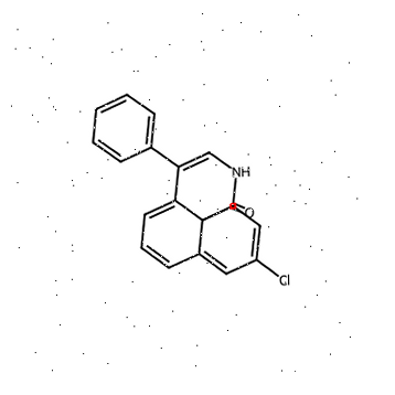 O=C1NC=C(c2ccccc2)C2=CC=CC3=CC(Cl)=CCC132